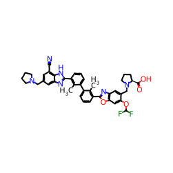 Cc1c(-c2nc3cc(CN4CCCC4)cc(C#N)c3[nH]2)cccc1-c1cccc(-c2nc3cc(CN4CCC[C@H]4C(=O)O)c(OC(F)F)cc3o2)c1C